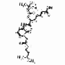 CC(C)CCNC(=O)Cn1cccc(NC(=O)C(CCC=CC(=O)O)NC(=O)OC(C)(C)C)c1=O